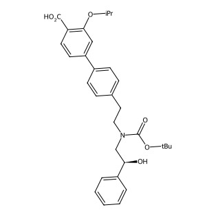 CC(C)Oc1cc(-c2ccc(CCN(C[C@@H](O)c3ccccc3)C(=O)OC(C)(C)C)cc2)ccc1C(=O)O